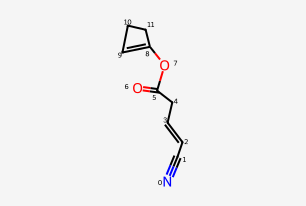 N#CC=CCC(=O)OC1=CCC1